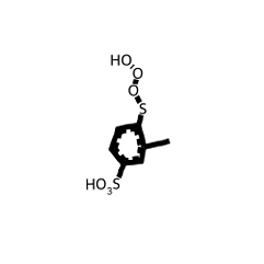 Cc1cc(S(=O)(=O)O)ccc1SOOO